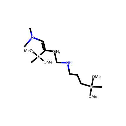 CO[Si](C)(CCCNC[SiH2]C(=CN(C)C)[Si](C)(OC)OC)OC